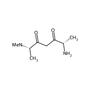 CN[C@@H](C)C(=O)CC(=O)[C@H](C)N